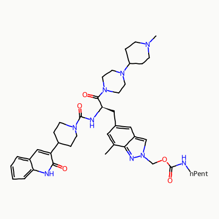 CCCCCNC(=O)OCn1cc2cc(C[C@@H](NC(=O)N3CCC(c4cc5ccccc5[nH]c4=O)CC3)C(=O)N3CCN(C4CCN(C)CC4)CC3)cc(C)c2n1